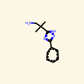 CC(C)(CN)c1nc(-c2ccccc2)n[nH]1